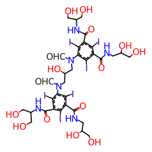 O=CN(CC(O)CN(C=O)c1c(I)c(C(=O)NCC(O)CO)c(I)c(C(=O)NC(CO)CO)c1I)c1c(I)c(C(=O)NCC(O)CO)c(I)c(C(=O)NC(CO)CO)c1I